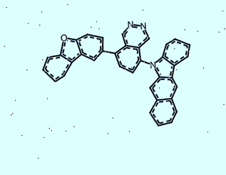 c1ccc2cc3c(cc2c1)c1ccccc1n3-c1ccc(-c2ccc3oc4ccccc4c3c2)c2cnncc12